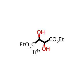 CCOC(=O)C(O)C(O)C(=O)OCC.[Ti+4]